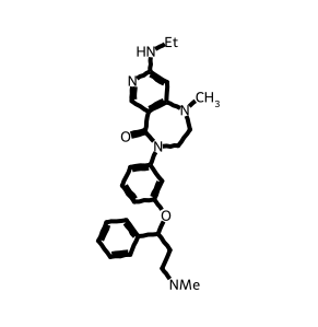 CCNc1cc2c(cn1)C(=O)N(c1cccc(OC(CCNC)c3ccccc3)c1)CCN2C